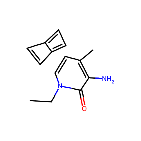 CCn1ccc(C)c(N)c1=O.c1cc2ccc1-2